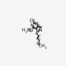 COC/C=C/Cn1ncc2nc(Cl)nc(OC)c21